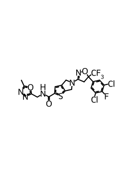 Cc1nnc(CNC(=O)c2cc3c(s2)CN(C2=NOC(c4cc(Cl)c(F)c(Cl)c4)(C(F)(F)F)C2)C3)o1